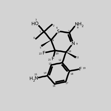 CC(C)(O)[C@]1(C)SC(N)=N[C@](C)(c2cc(N)ccc2F)C1(F)F